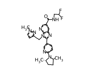 C[C@H]1CC[C@H](C)N1c1ccc(-c2nc3cc(C(=O)NCC(F)F)cnc3n2Cc2ccn(C)n2)cn1